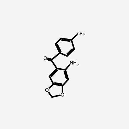 CCCCc1ccc(C(=O)c2cc3c(cc2N)OCO3)cc1